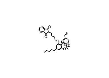 CCCCCc1cc(OCCCCC2C(=O)c3ccccc3C2=O)c2c(c1)OC(C)(C)[C@@H]1CCC(CF)=C[C@@H]21